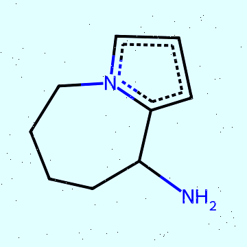 NC1CCCCn2cccc21